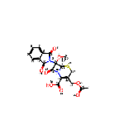 COC1(N2C(=O)c3ccccc3C2=O)C(=O)N2C(C(=O)O)=C(COC(C)=O)CS[C@@H]21